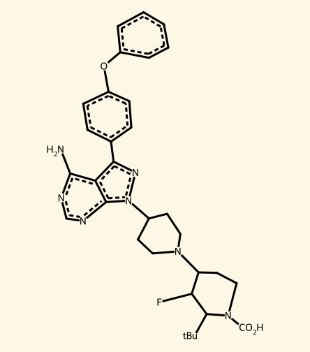 CC(C)(C)C1C(F)C(N2CCC(n3nc(-c4ccc(Oc5ccccc5)cc4)c4c(N)ncnc43)CC2)CCN1C(=O)O